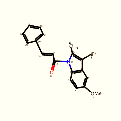 COc1ccc2c(c1)c(C(C)C)c(C)n2C(=O)C=Cc1ccccc1